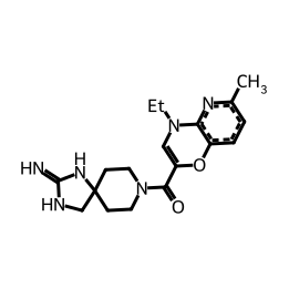 CCN1C=C(C(=O)N2CCC3(CC2)CNC(=N)N3)Oc2ccc(C)nc21